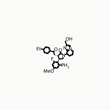 CCc1ccc(C(=O)C[C@@H]2C(=O)N(c3cccn4cc(CO)nc34)C[C@H]2c2c(F)cc(OC)cc2P)cc1